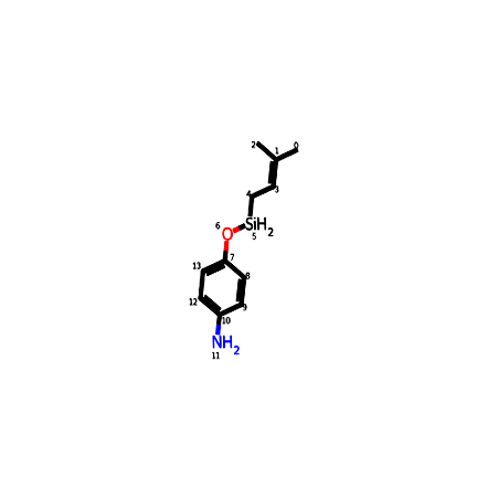 CC(C)=CC[SiH2]Oc1ccc(N)cc1